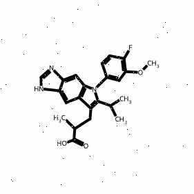 COc1cc(-n2c(C(C)C)c(CC(C)C(=O)O)c3cc4[nH]cnc4cc32)ccc1F